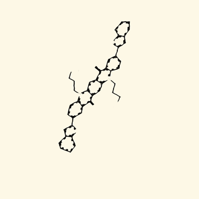 CCCCn1c2ccc(-c3cc4ccccc4s3)cc2c(=O)c2cc3c(cc21)c(=O)c1cc(-c2cc4ccccc4s2)ccc1n3CCCC